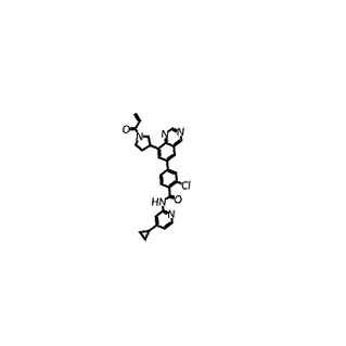 C=CC(=O)N1CCC(c2cc(-c3ccc(C(=O)Nc4cc(C5CC5)ccn4)c(Cl)c3)cc3cncnc23)C1